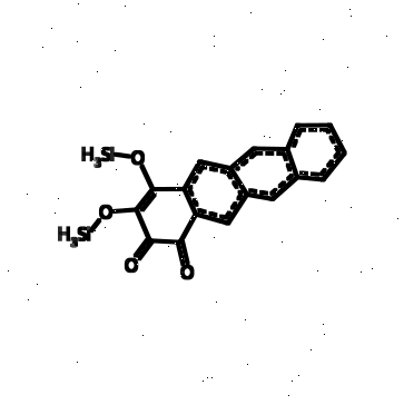 O=C1C(=O)c2cc3cc4ccccc4cc3cc2C(O[SiH3])=C1O[SiH3]